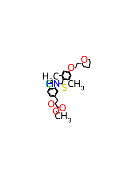 COC(=O)C(=O)Cc1ccc(Cl)c(NC(=S)c2c(C)cc(OCC[C@@H]3CCCCO3)cc2C)c1